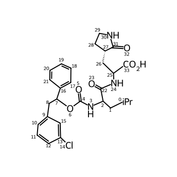 CC(C)CC(NC(=O)OC(Cc1cccc(Cl)c1)c1ccccc1)C(=O)NC(C[C@@H]1CCNC1=O)C(=O)O